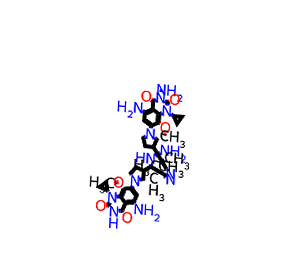 COc1c(N2CCC(C(NC(N)(C3CCN(c4cc(N)c5c(=O)n(N)c(=O)n(C6CC6)c5c4OC)C3)C(C)(C)C#N)C(C)(C)C#N)C2)cc(N)c2c(=O)[nH]c(=O)n(C3CC3)c12